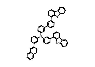 c1cc(-c2cccc(N(c3cccc(-c4ccc5ccccc5c4)c3)c3cccc(-c4cccc5c4sc4ccccc45)c3)c2)cc(-c2cccc3c2sc2ccccc23)c1